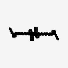 CCCCCC1OC1CC=CCCCCCCCC(=O)NCCNC(=O)CCCCCCCC=CCC1OC1CCCCC